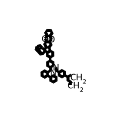 C=C/C=C(\C=C)c1ccc(-c2nc(-c3ccccc3-c3ccccc3)c3ccc(-c4ccc5c(c4)C4(c6cc7c(cc6-5)Oc5ccccc5O7)C5CC6CC(C5)CC4C6)cc3n2)cc1